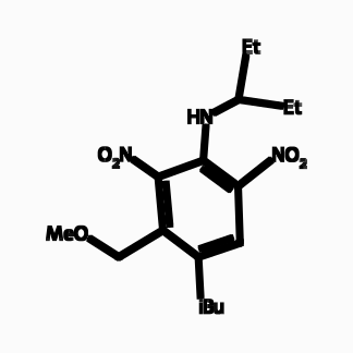 CCC(CC)Nc1c([N+](=O)[O-])cc(C(C)CC)c(COC)c1[N+](=O)[O-]